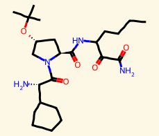 CCCCC(NC(=O)[C@@H]1C[C@@H](OC(C)(C)C)CN1C(=O)[C@@H](N)C1CCCCC1)C(=O)C(N)=O